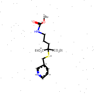 CCOC(=O)C(CCCNC(=O)OC(C)(C)C)(SCc1cccnc1)C(=O)OCC